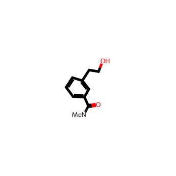 CNC(=O)c1cccc(CCO)c1